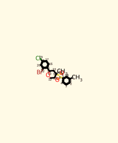 Cc1cccc(S(=O)(=O)C2(C)CCOC(c3ccc(Cl)cc3Br)C2)c1